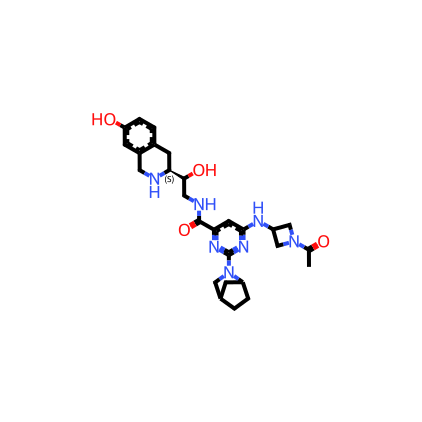 CC(=O)N1CC(Nc2cc(C(=O)NCC(O)[C@@H]3Cc4ccc(O)cc4CN3)nc(N3CC4CCC3C4)n2)C1